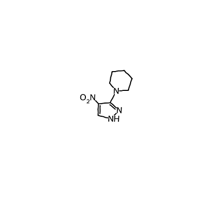 O=[N+]([O-])c1c[nH]nc1N1CCCCC1